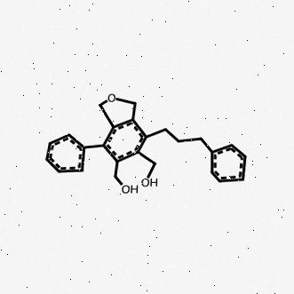 OCc1c(CCCc2ccccc2)c2c(c(-c3ccccc3)c1CO)COC2